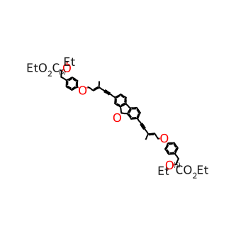 CCOC(=O)[C@H](Cc1ccc(OCC=C(C)C#Cc2ccc3c(c2)C(=O)c2cc(C#CC(C)=CCOc4ccc(C[C@H](OCC)C(=O)OCC)cc4)ccc2-3)cc1)OCC